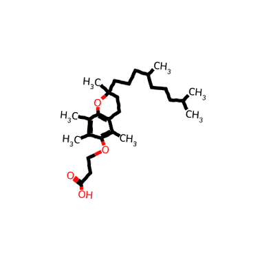 Cc1c(C)c2c(c(C)c1OCCC(=O)O)CCC(C)(CCCC(C)CCCC(C)C)O2